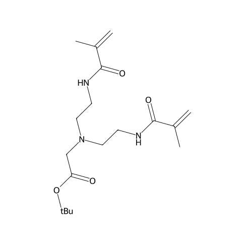 C=C(C)C(=O)NCCN(CCNC(=O)C(=C)C)CC(=O)OC(C)(C)C